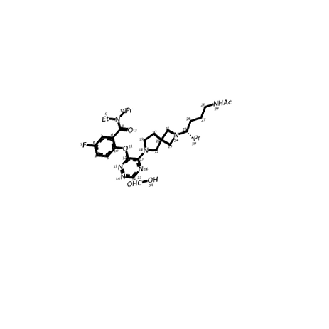 CCN(C(=O)c1cc(F)ccc1Oc1nncnc1N1CCC2(C1)CN([C@H](CCCNC(C)=O)C(C)C)C2)C(C)C.O=CO